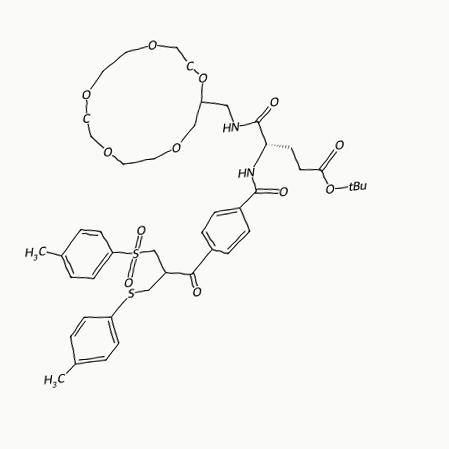 Cc1ccc(SCC(CS(=O)(=O)c2ccc(C)cc2)C(=O)c2ccc(C(=O)N[C@@H](CCC(=O)OC(C)(C)C)C(=O)NCC3COCCOCCOCCOCCO3)cc2)cc1